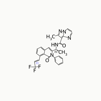 Cc1nn2cccnc2c1C(=O)N[C@@H](C)c1cc2cccc(/C=C/C(F)(F)F)c2c(=O)n1-c1ccccc1